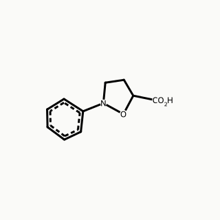 O=C(O)C1CCN(c2ccccc2)O1